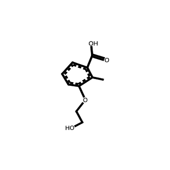 Cc1c(OCCO)cccc1C(=O)O